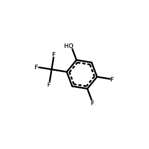 Oc1cc(F)c(F)cc1C(F)(F)F